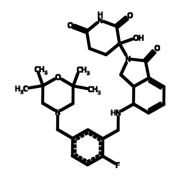 CC1(C)CN(Cc2ccc(F)c(CNC3C=CC=C4C(=O)N(C5(O)CCC(=O)NC5=O)CC43)c2)CC(C)(C)O1